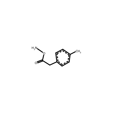 Cc1ccc(CC(=O)ON)cc1